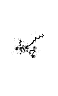 CCCCCC/C=C\CCCCCCCCCC(=O)O[C@H]1[C@H](OC[C@H]2O[C@H](OP(=O)(O)O)[C@H](O)[C@@H](OCCCCCCCCCC)[C@@H]2O)O[C@H](COC)[C@@H](OP(=O)(O)O)[C@@H]1OCC[C@@H](CCCCCCC)OC